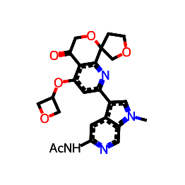 CC(=O)Nc1cc2c(-c3cc(OC4COC4)c4c(n3)C3(CCOC3)OCC4=O)cn(C)c2cn1